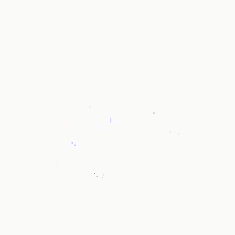 CN[C@@H]1CCCN(C(=O)c2cc(-c3ccc(C#N)cc3)n(-c3ccc(C(C)(C)C)cc3)n2)C1